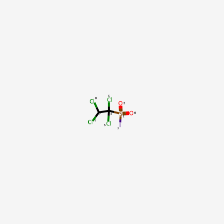 O=S(=O)(I)C(Cl)(Cl)C(Cl)Cl